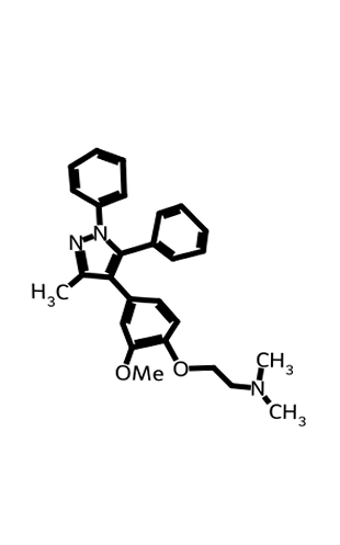 COc1cc(-c2c(C)nn(-c3ccccc3)c2-c2ccccc2)ccc1OCCN(C)C